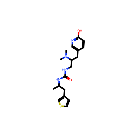 CC(Cc1ccsc1)NC(=O)NCC(Cc1ccc(O)nc1)N(C)C